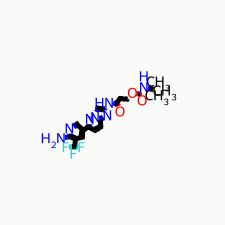 CC(C)(C)NC(=O)OCCC(=O)Nc1cn2nc(-c3cnc(N)c(C(F)(F)F)c3)ccc2n1